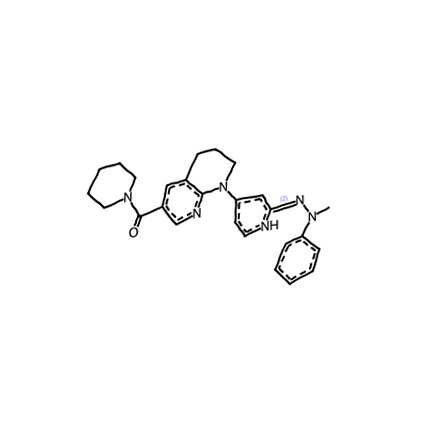 CN(/N=c1/cc(N2CCCc3cc(C(=O)N4CCCCC4)cnc32)cc[nH]1)c1ccccc1